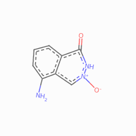 Nc1cccc2c(=O)[nH][n+]([O-])cc12